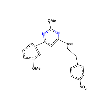 COc1cccc(-c2cc([AsH]CCc3ccc([N+](=O)[O-])cc3)nc(OC)n2)c1